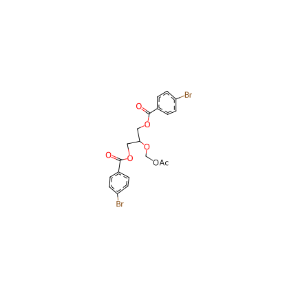 CC(=O)OCOC(COC(=O)c1ccc(Br)cc1)COC(=O)c1ccc(Br)cc1